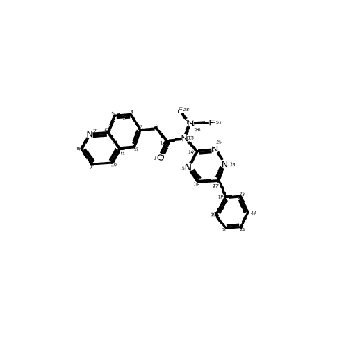 O=C(Cc1ccc2ncccc2c1)N(c1ncc(-c2ccccc2)nn1)N(F)F